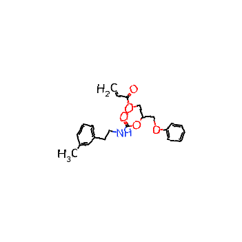 C=CC(=O)OCC(COc1ccccc1)OC(=O)NCCc1cccc(C)c1